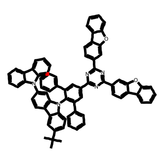 CC(C)(C)c1ccc2c(c1)c1ccc(-n3c4ccccc4c4ccccc43)cc1n2-c1c(-c2ccccc2)cc(-c2nc(-c3ccc4c(c3)oc3ccccc34)nc(-c3ccc4c(c3)oc3ccccc34)n2)cc1-c1ccccc1